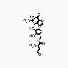 Nc1nc2c(ncn2[C@@H]2O[C@H](COC(=O)[C@@H](N)CCS)[C@@H](O)[C@H]2O)c(=O)[nH]1